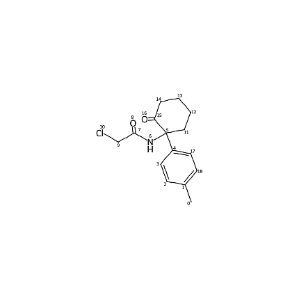 Cc1ccc(C2(NC(=O)CCl)CCCCC2=O)cc1